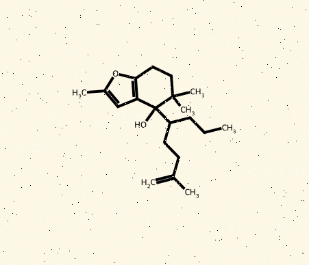 C=C(C)CCC(CCC)C1(O)c2cc(C)oc2CCC1(C)C